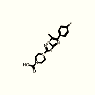 O=C(O)N1CCN(c2nn3c(I)c(-c4ccc(F)cc4)nc3s2)CC1